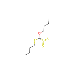 CCCCOC(SCCCC)=S(=S)=S